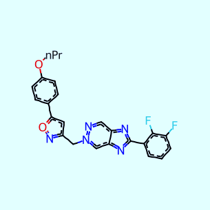 CCCOc1ccc(-c2cc(Cn3cc4nc(-c5cccc(F)c5F)nc-4cn3)no2)cc1